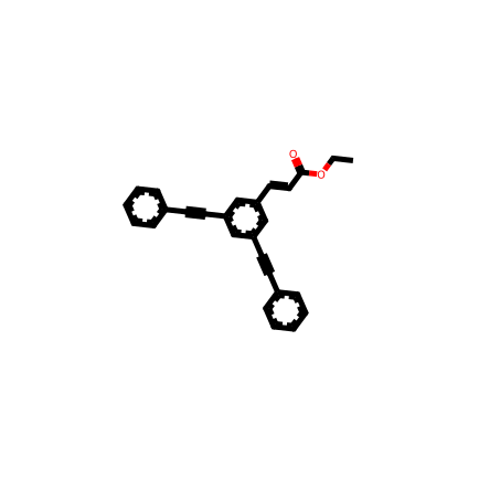 CCOC(=O)/C=C/c1cc(C#Cc2ccccc2)cc(C#Cc2ccccc2)c1